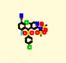 CS(=O)(=O)N(c1cc(C(c2cc(C#N)ccc2F)S(=O)(=O)c2ccc(Cl)cc2)c(Cl)cn1)S(C)(=O)=O